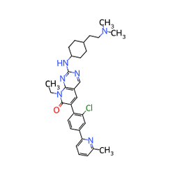 CCn1c(=O)c(-c2ccc(-c3cccc(C)n3)cc2Cl)cc2cnc(NC3CCC(CCN(C)C)CC3)nc21